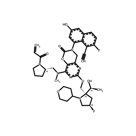 C#Cc1c(F)ccc2cc(O)cc(N3Cc4nc(OC[C@]5([C@H](C)O)C[C@@H](F)CN5C5CCOCC5)nc(N(C)C[C@@H]5CCCN5C(=O)C=C)c4OC3=O)c12